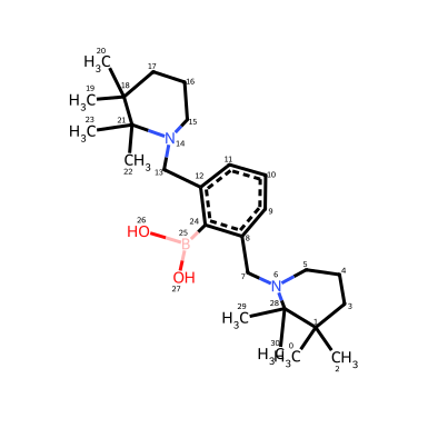 CC1(C)CCCN(Cc2cccc(CN3CCCC(C)(C)C3(C)C)c2B(O)O)C1(C)C